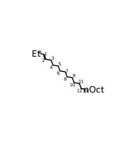 [CH2]CC=CCCCCCCCCCCCCCCCCCC